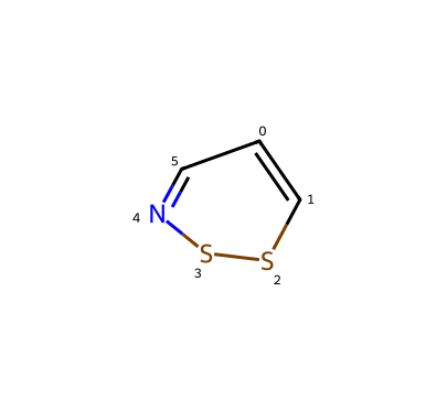 C1=CSSN=C1